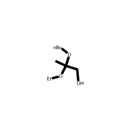 CCCCOC(C)(CO)OCC